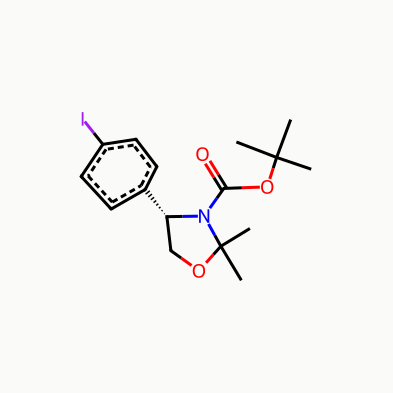 CC(C)(C)OC(=O)N1[C@@H](c2ccc(I)cc2)COC1(C)C